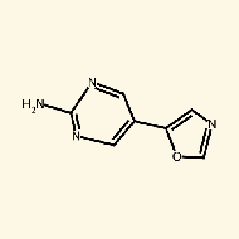 Nc1ncc(-c2cnco2)cn1